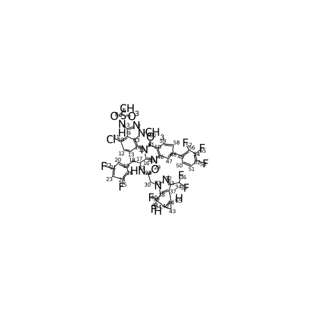 Cn1nc(NS(C)(=O)=O)c2c(Cl)ccc(-n3c([C@H](Cc4cc(F)cc(F)c4)NC(=O)Cn4nc(C(F)F)c5c4C(F)(F)[C@@H]4C[C@H]54)nc4cc(-c5ccc(F)c(F)c5F)ccc4c3=O)c21